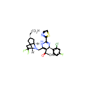 COC(=O)C1=C(CN2[C@@H]3C(F)(F)CC34C[C@H](CC(=O)O)C[C@@H]24)NC(c2nccs2)=N[C@H]1c1ccc(F)cc1Cl